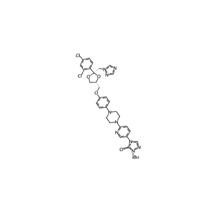 CCC(C)n1ncn(-c2ccc(N3CCN(c4ccc(OC[C@@H]5CO[C@@](Cn6cncn6)(c6ccc(Cl)cc6Cl)O5)cc4)CC3)nc2)c1=O